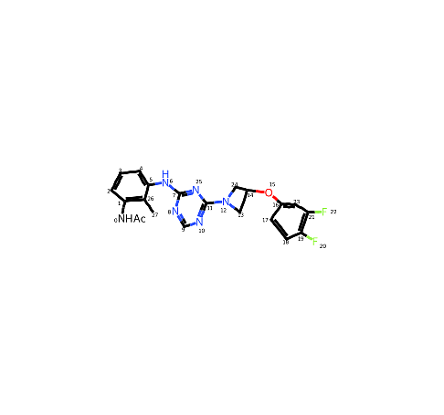 CC(=O)Nc1cccc(Nc2ncnc(N3CC(Oc4ccc(F)c(F)c4)C3)n2)c1C